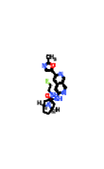 Cc1ncc(-c2cc3cc(NC(=O)N4[C@@H]5CC[C@H]4C[C@@H](NCCF)C5)ncc3cn2)o1